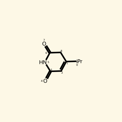 CC(C)C1=CC(=O)NC(=O)C1